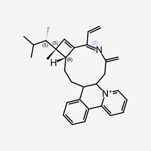 C=C/C1=N/C(=C)CC2C(CC[C@H]3C1=C[C@@]3(C)[C@@H](C)C(C)C)c1ccccc1-c1cccc[n+]12